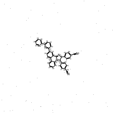 N#Cc1ccc(C2N=C3c4cc(-c5cccc(-c6ccccn6)n5)ccc4-c4ccccc4N3C2c2ccc(C#N)cc2)cc1